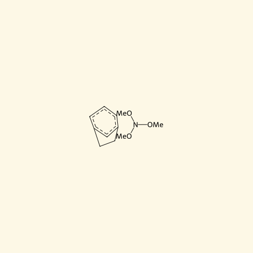 CON(OC)OC.c1cc2cc(c1)CC2